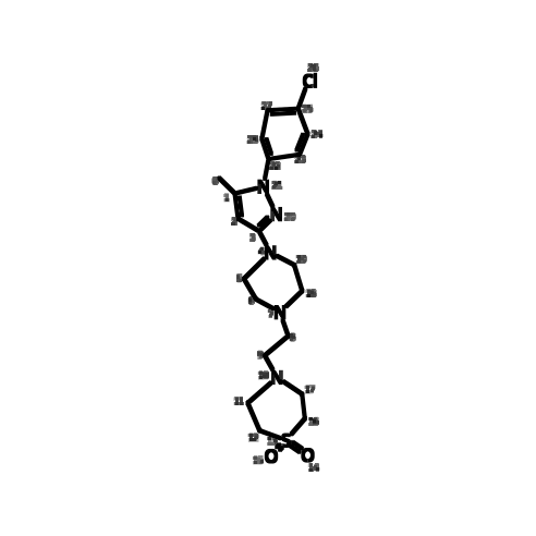 Cc1cc(N2CCN(CCN3CCS(=O)(=O)CC3)CC2)nn1-c1ccc(Cl)cc1